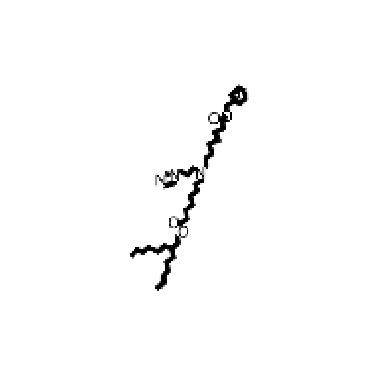 CCCCCCC(CCCCCC)CCOC(=O)CCCCCCCN(CCCCCCCC(=O)OCC12CCC(CC1)CC2)CCCn1ccnc1